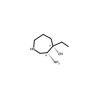 CC[C@]1(O)CCCNC[C@H]1N